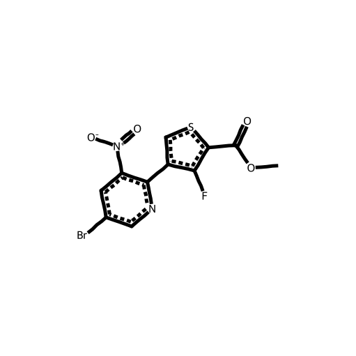 COC(=O)c1scc(-c2ncc(Br)cc2[N+](=O)[O-])c1F